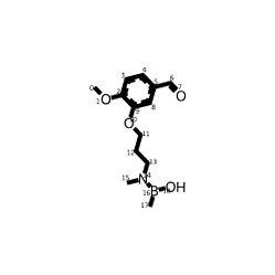 COc1ccc(C=O)cc1OCCCN(C)B(C)O